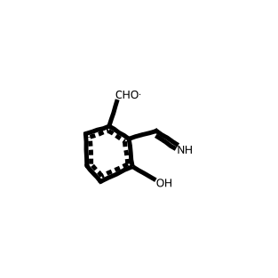 N=[C]c1c(O)cccc1[C]=O